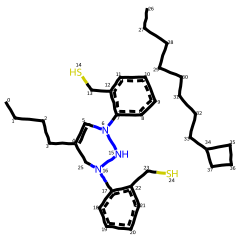 CCCCC1=CN(c2ccccc2CS)NN(c2ccccc2CS)C1.CCCCCCCCC1CCC1